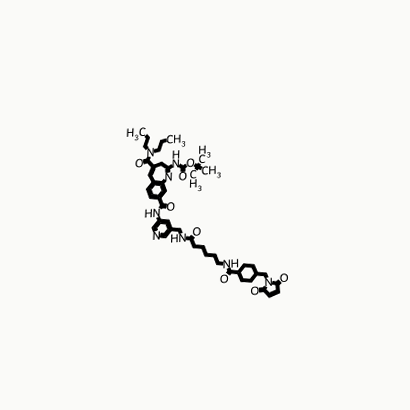 CCCN(CCC)C(=O)C1=Cc2ccc(C(=O)Nc3cncc(CNC(=O)CCCCCNC(=O)C4CCC(CN5C(=O)C=CC5=O)CC4)c3)cc2N=C(NC(=O)OC(C)(C)C)C1